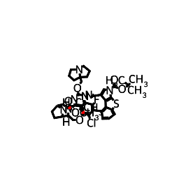 CC(C)(C)OC(=O)N1C2CCC1[C@H]1COc3c(Cl)c(-c4cccc5sc6c(c(C#N)cn6C(=O)OC(C)(C)C)c45)c(F)c4nc(OCC56CCCN5CCC6)nc(c34)N1C2